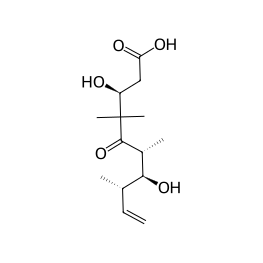 C=C[C@H](C)[C@H](O)[C@@H](C)C(=O)C(C)(C)[C@@H](O)CC(=O)O